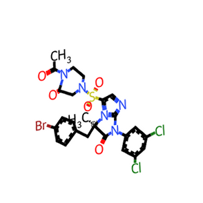 CC(=O)N1CCN(S(=O)(=O)c2cnc3n2[C@](C)(Cc2ccc(Br)cc2)C(=O)N3c2cc(Cl)cc(Cl)c2)CC1=O